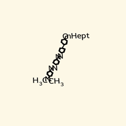 CCCCCCCOc1ccc(-c2ccc(/N=N/c3ccc(/N=N/c4ccc(N(C)C)cc4)cc3)cc2)cc1